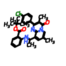 Cc1cc(C(C)Nc2ccccc2C(=O)OC(C)(C)C)c2nc(-c3ccc(Cl)cc3)c(C)c(=O)n2c1